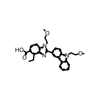 CCc1c(C(=O)O)ccc2c1nc(-c1ccc3c(c1)c1ccccc1n3CCOC)n2CCOC